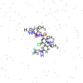 Cc1cc(C)c(CNC(=O)c2cc(Cl)cc(NC(C)[C@H]3CC[C@H](NCCC(F)F)CC3)c2C)c(=O)[nH]1